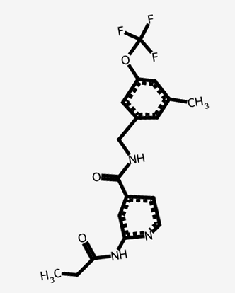 CCC(=O)Nc1cc(C(=O)NCc2cc(C)cc(OC(F)(F)F)c2)ccn1